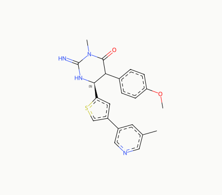 COc1ccc(C2C(=O)N(C)C(=N)N[C@@H]2c2cc(-c3cncc(C)c3)cs2)cc1